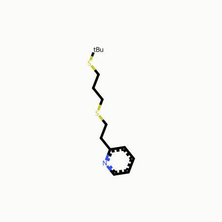 CC(C)(C)SCCCSCCc1ccccn1